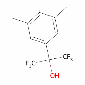 Cc1[c]c(C)cc(C(O)(C(F)(F)F)C(F)(F)F)c1